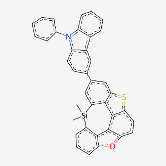 C[Si]1(C)c2cccc3oc4ccc5sc6cc(-c7ccc8c(c7)c7ccccc7n8-c7ccccc7)cc1c6c5c4c23